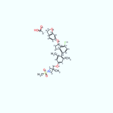 Cc1cc(OCC2(C)CN(S(C)(=O)=O)C2)cc(C)c1-c1ccc(F)c2c1CCC2Oc1ccc2c(c1)OC[C@H]2CC(=O)O